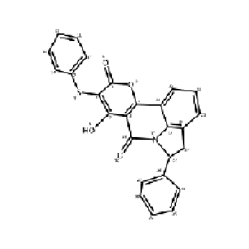 O=c1oc2c(c(O)c1Sc1ccccc1)c(=O)n1c3c(cccc23)CC1c1ccccc1